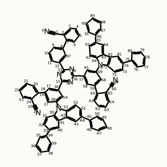 N#Cc1ccccc1-c1cccc(-c2nc(-c3cc(-c4ccccc4C#N)cc(-n4c5ccc(-c6ccccc6)cc5c5cc(-c6ccccc6)ccc54)c3)nc(-c3cc(-c4ccccc4C#N)cc(-n4c5ccc(-c6ccccc6)cc5c5cc(-c6ccccc6)ccc54)c3)n2)c1